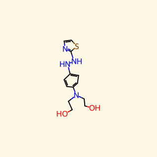 OCCN(CCO)c1ccc(NNc2nccs2)cc1